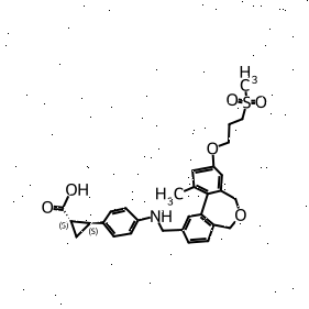 Cc1cc(OCCCS(C)(=O)=O)cc2c1-c1cc(CNc3ccc([C@H]4C[C@@H]4C(=O)O)cc3)ccc1COC2